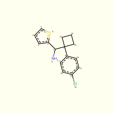 NC(c1cccs1)C1(c2ccc(Cl)cc2)CCC1